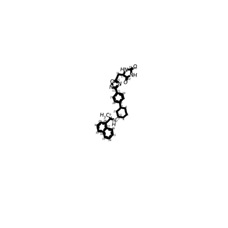 C[C@@H](N[C@H]1CCCC(c2ccc(-c3noc(CC4NC(=O)NC4=O)n3)cc2)C1)c1cccc2ccccc12